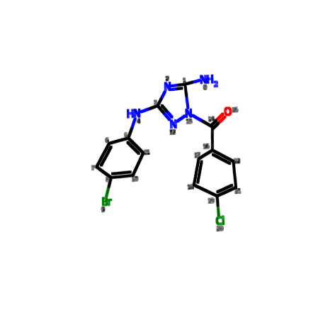 Nc1nc(Nc2ccc(Br)cc2)nn1C(=O)c1ccc(Cl)cc1